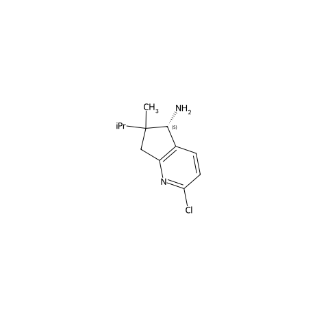 CC(C)C1(C)Cc2nc(Cl)ccc2[C@H]1N